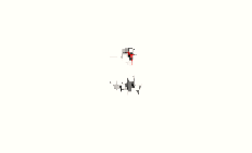 C=C(/C=C\C(=C/C)C(O)(C(F)(F)F)C(F)(F)F)c1ccc(CN2CCN(Cc3ccncc3)C[C@H]2C(=O)NC(C)C)cc1